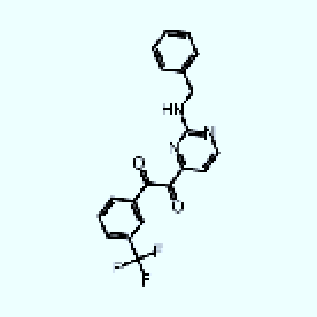 O=C(C(=O)c1ccnc(NCc2ccccc2)n1)c1cccc(C(F)(F)F)c1